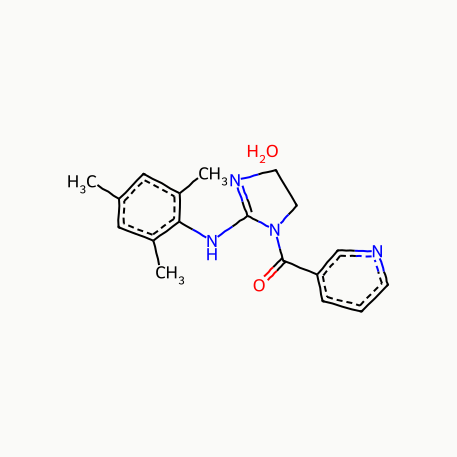 Cc1cc(C)c(NC2=NCCN2C(=O)c2cccnc2)c(C)c1.O